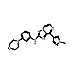 Cn1cc(-c2nccn3nc(Nc4cccc(N5CCOCC5)c4)nc23)cn1